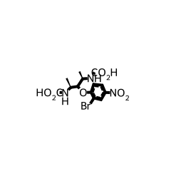 C[C@H](NC(=O)O)C(Oc1ccc([N+](=O)[O-])cc1Br)[C@@H](C)NC(=O)O